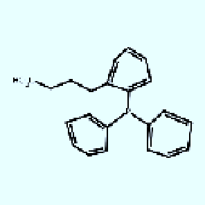 O=C(O)CCCc1ccccc1P(c1ccccc1)c1ccccc1